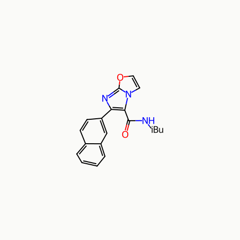 CCC(C)NC(=O)c1c(-c2ccc3ccccc3c2)nc2occn12